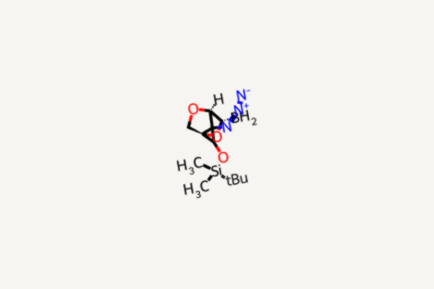 B[C@@H]1O[C@@]23CO[C@@H]1C2(N=[N+]=[N-])C3O[Si](C)(C)C(C)(C)C